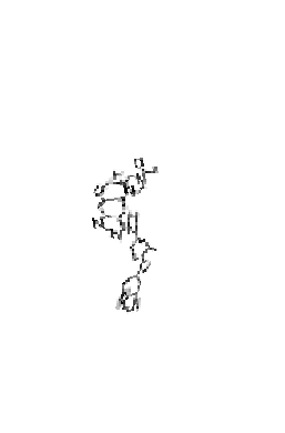 C=CC(=O)N1CCN2c3cc4c(Nc5ccc(Oc6ccn7ncnc7c6)c(C)c5)ncnc4cc3OC[C@H]2C1